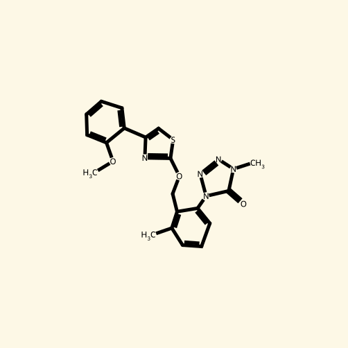 COc1ccccc1-c1csc(OCc2c(C)cccc2-n2nnn(C)c2=O)n1